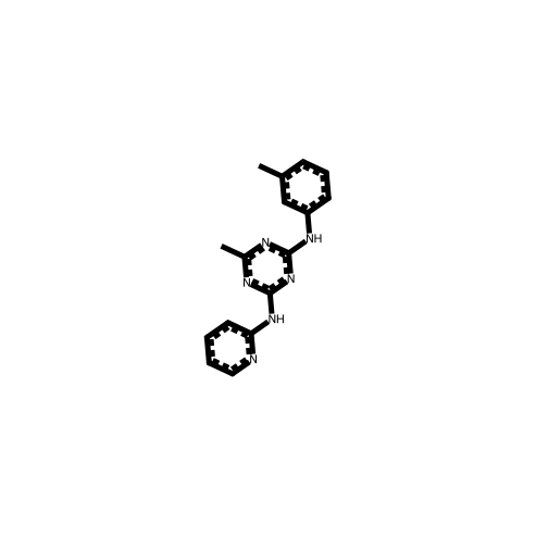 Cc1cccc(Nc2nc(C)nc(Nc3ccccn3)n2)c1